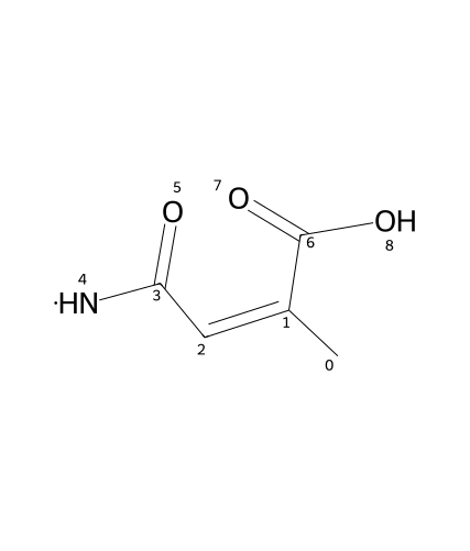 C/C(=C/C([NH])=O)C(=O)O